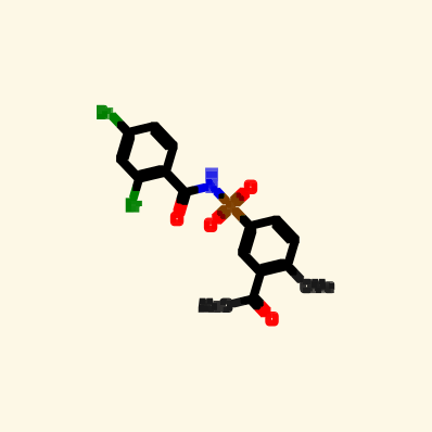 COC(=O)c1cc(S(=O)(=O)NC(=O)c2ccc(Br)cc2Br)ccc1OC